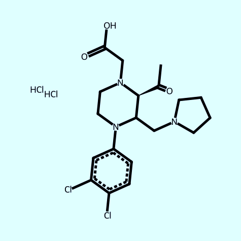 CC(=O)[C@H]1C(CN2CCCC2)N(c2ccc(Cl)c(Cl)c2)CCN1CC(=O)O.Cl.Cl